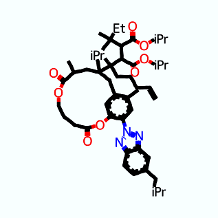 C=CCCCC(C(C)C)(C(C(=O)OC(C)C)C(C(=O)OC(C)C)C(C)(C)CC)C1(C)Cc2cc(c(-n3nc4ccc(CC(C)C)cc4n3)cc2C)OC(=O)CCCOC(=O)C(C)C1